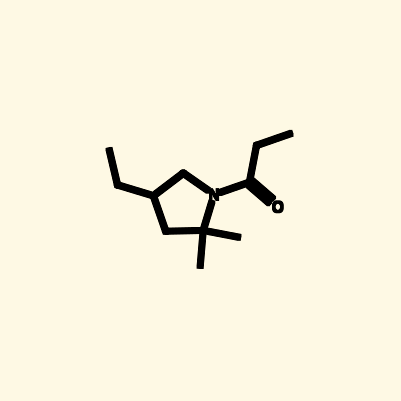 CCC(=O)N1CC(CC)CC1(C)C